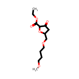 CCOC(=O)C1OC(COCCCCOC)CC1=O